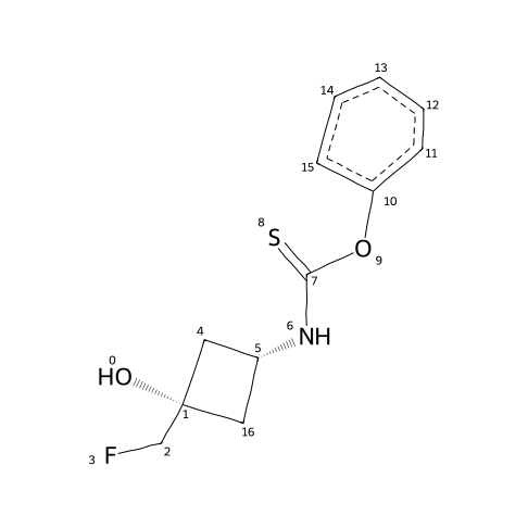 O[C@]1(CF)C[C@H](NC(=S)Oc2ccccc2)C1